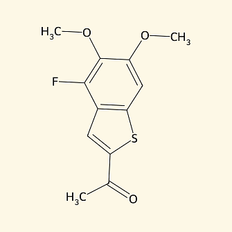 COc1cc2sc(C(C)=O)cc2c(F)c1OC